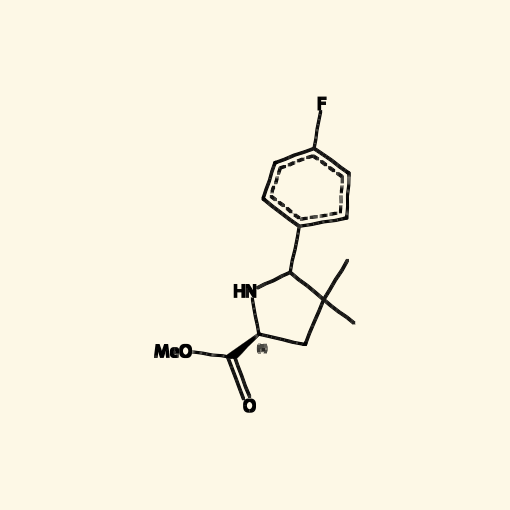 COC(=O)[C@@H]1CC(C)(C)C(c2ccc(F)cc2)N1